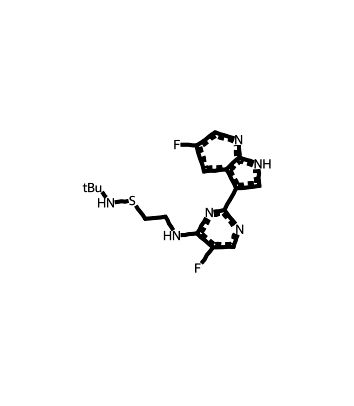 CC(C)(C)NSCCNc1nc(-c2c[nH]c3ncc(F)cc23)ncc1F